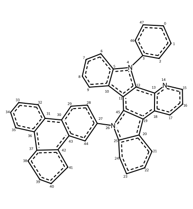 c1ccc(-n2c3ccccc3c3c2c2ncccc2c2c4ccccc4n(-c4ccc5c6ccccc6c6ccccc6c5c4)c23)cc1